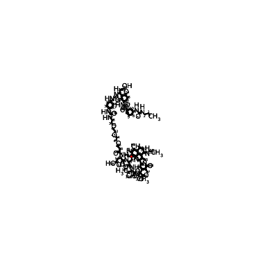 CCCNC(=O)Nc1cccc(S(=O)(=O)Nc2cccc(C(CC(=O)O)NC(=O)Nc3ccc(NC(=O)NCCOCCOCCOCCC(=O)NC(CC(=O)O)C(=O)N4CCCC4C(=O)NC(C(=O)OC4(CC)C(=O)OCc5c4cc4n(c5=O)Cc5c-4nc4cc(F)c(C)c6c4c5C(NCC)CC6)C(C)C)cc3)c2)c1